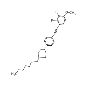 CCCCCCC[C@H]1CC[C@H](c2ccc(C#Cc3ccc(OC)c(F)c3F)cc2)CC1